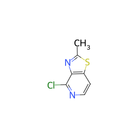 Cc1nc2c(Cl)nccc2s1